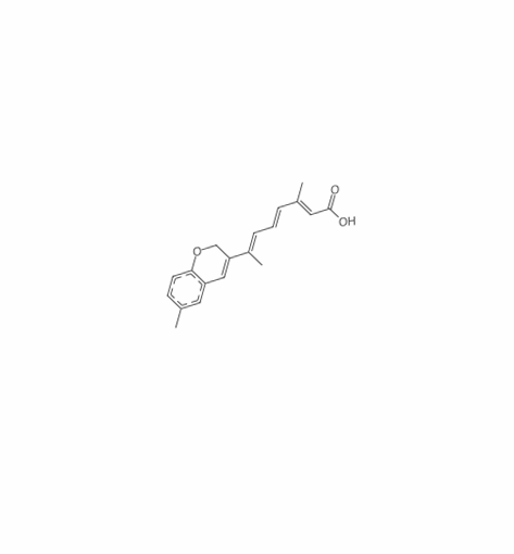 CC(C=CC=C(C)C1=Cc2cc(C)ccc2OC1)=CC(=O)O